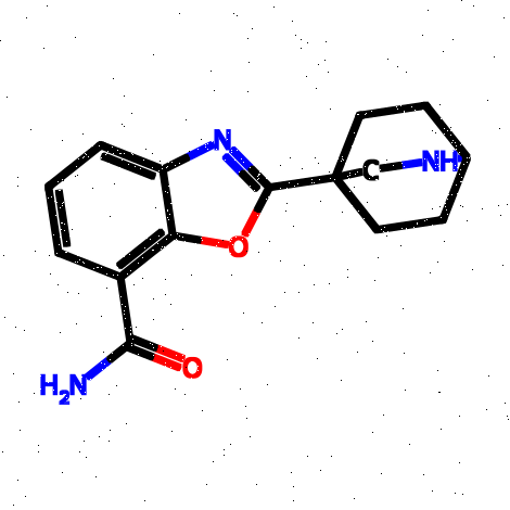 NC(=O)c1cccc2nc(C34CCC(CC3)NC4)oc12